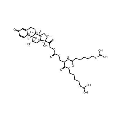 C[C@H]1C[C@H]2[C@@H]3CCC4=CC(=O)C=C[C@]4(C)[C@@]3(F)[C@@H](O)C[C@]2(C)[C@@]1(O)C(=O)COC(=O)OCC(NC(=O)CCCCCON(O)O)C(=O)OCCCCON(O)O